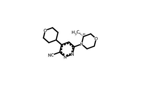 C[C@@H]1COCCN1c1cc(C2CCOCC2)c(C#N)nn1